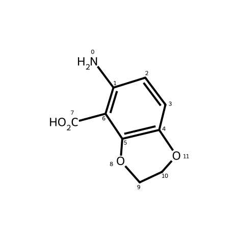 Nc1ccc2c(c1C(=O)O)OCCO2